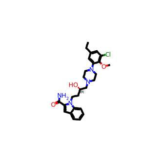 CCc1cc(Cl)c(OC)c(N2CCN(C[C@H](O)CCn3c(C(N)=O)cc4ccccc43)CC2)c1